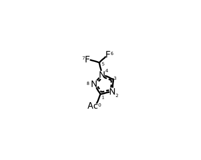 CC(=O)c1ncn(C(F)F)n1